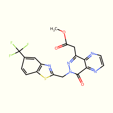 COC(=O)Cc1nn(Cc2nc3cc(C(F)(F)F)ccc3s2)c(=O)c2nccnc12